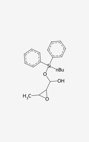 CCCC[Si](OC(O)C1OC1C)(c1ccccc1)c1ccccc1